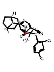 CC(C)(Oc1ccc(Cl)cc1Cl)C(=O)N[C@H]1C[C@H]2CC[C@@H](C1)N2c1ccc(C#N)cn1